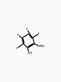 CNc1c(O)c(F)c(F)c(F)c1F